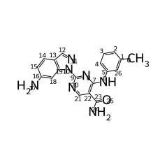 Cc1cccc(Nc2nc(-n3ncc4ccc(N)cc43)ncc2C(N)=O)c1